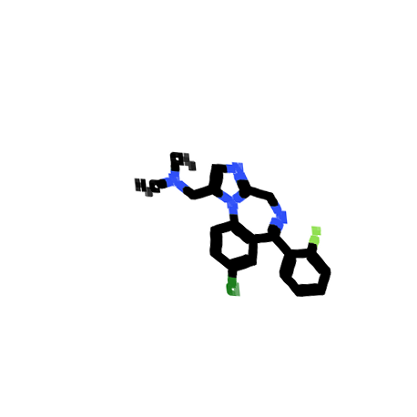 CN(C)Cc1cnc2n1-c1ccc(Cl)cc1C(c1ccccc1F)=NC2